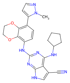 Cn1nccc1-c1ccc(Nc2nc(NC3CCCC3)c3c(C#N)c[nH]c3n2)c2c1OCCO2